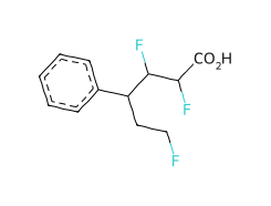 O=C(O)C(F)C(F)C(CCF)c1ccccc1